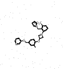 Cc1cc(COc2cccnc2)ccc1OC1CN(c2cccc(C(=O)O)c2Cn2cccc2)C1